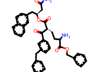 NC(=O)C[C@H](Cc1ccc2ccccc2c1)OC(=O)[C@H](CCC(N)C(=O)OCc1ccccc1)C(=O)c1cccc(Cc2ccccc2)c1